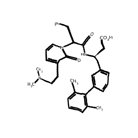 Cc1cccc(C)c1-c1cccc([C@H](CC(=O)O)NC(=O)C(CC(C)C)n2cccc(CCN(C)C)c2=O)c1